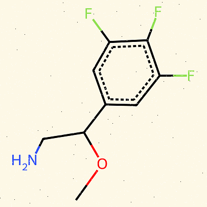 COC(CN)c1cc(F)c(F)c(F)c1